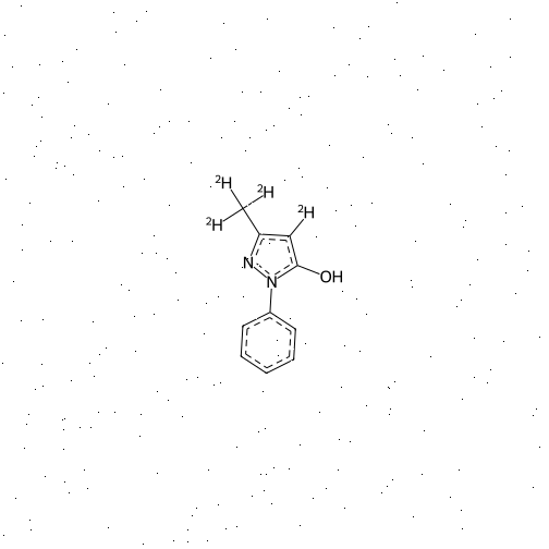 [2H]c1c(C([2H])([2H])[2H])nn(-c2ccccc2)c1O